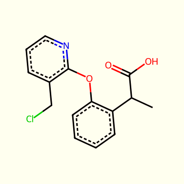 CC(C(=O)O)c1ccccc1Oc1ncccc1CCl